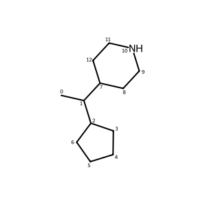 CC(C1CCCC1)C1CCNCC1